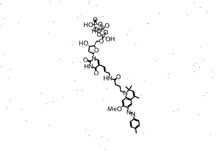 COc1cc2c(cc1/N=N/c1ccc(C)cc1)C(C)=CC(C)(C)N2CCCC(=O)NC/C=C/c1cn([C@H]2C[C@H](O)[C@@H](COP(=O)(O)OP(=O)(O)OP(=O)(O)O)O2)c(=O)[nH]c1=O